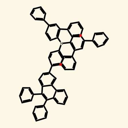 c1ccc(-c2ccc(N(c3ccc(-c4ccc5c(-c6ccccc6)c(-c6ccccc6)c6ccccc6c5c4)cc3)c3ccc(-c4ccccc4)cc3-c3ccccc3)c(-c3ccccc3)c2)cc1